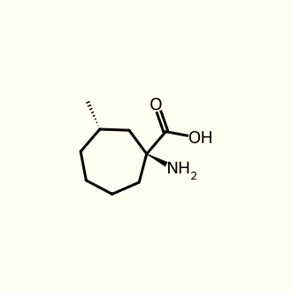 C[C@H]1CCCC[C@@](N)(C(=O)O)C1